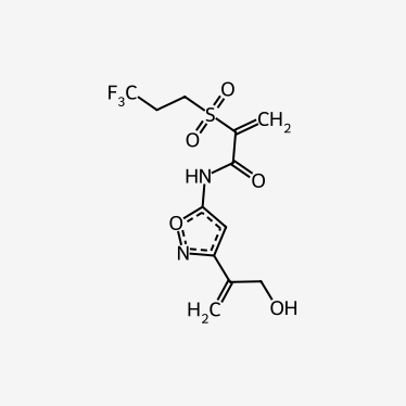 C=C(CO)c1cc(NC(=O)C(=C)S(=O)(=O)CCC(F)(F)F)on1